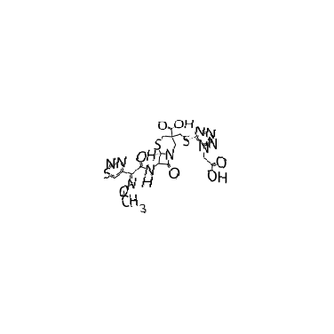 CON=C(C(=O)NC1C(=O)N2CC(CSc3nnnn3CC(=O)O)(C(=O)O)CS[C@H]12)c1csnn1